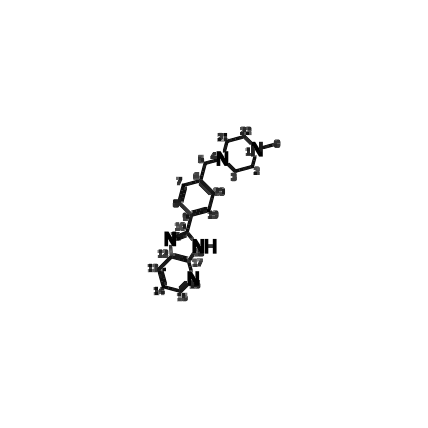 CN1CCN(Cc2ccc(-c3nc4[c]ccnc4[nH]3)cc2)CC1